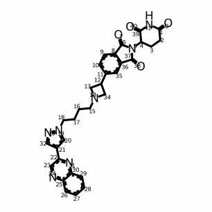 O=C1CCC(N2C(=O)c3ccc(C4CN(CCCCn5cc(-c6cnc7ccccc7n6)cn5)C4)cc3C2=O)C(=O)N1